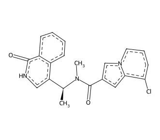 C[C@@H](c1c[nH]c(=O)c2ccccc12)N(C)C(=O)c1cc2c(Cl)cccn2c1